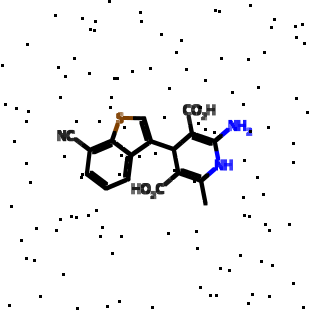 CC1=C(C(=O)O)C(c2csc3c(C#N)cccc23)C(C(=O)O)=C(N)N1